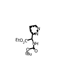 CCOC(=O)C(NC(=O)OC(C)(C)C)c1cccnn1